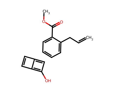 C=CCc1ccccc1C(=O)OC.Oc1cc2ccc1-2